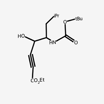 CCOC(=O)C#CC(O)C(CC(C)C)NC(=O)OC(C)(C)C